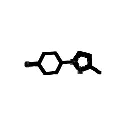 Cc1ccn(C2CCC(=O)CC2)n1